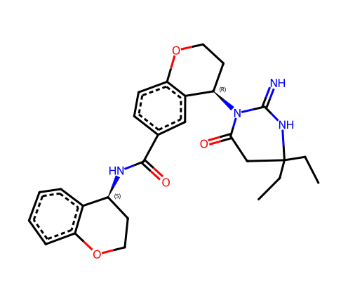 CCC1(CC)CC(=O)N([C@@H]2CCOc3ccc(C(=O)N[C@H]4CCOc5ccccc54)cc32)C(=N)N1